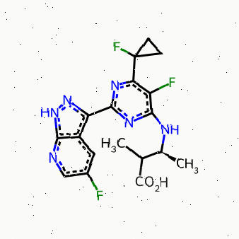 CC(C(=O)O)[C@H](C)Nc1nc(-c2n[nH]c3ncc(F)cc23)nc(C2(F)CC2)c1F